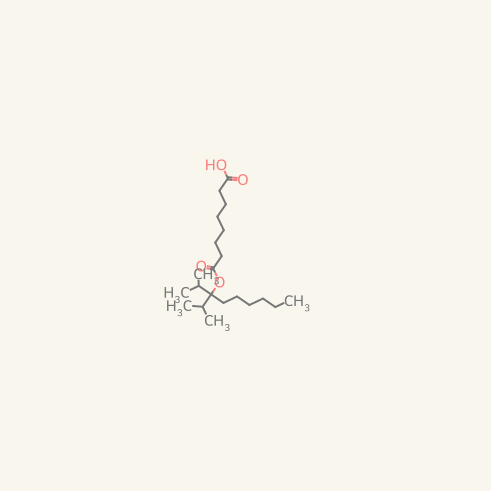 CCCCCCC(OC(=O)CCCCCCC(=O)O)(C(C)C)C(C)C